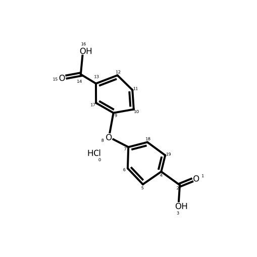 Cl.O=C(O)c1ccc(Oc2cccc(C(=O)O)c2)cc1